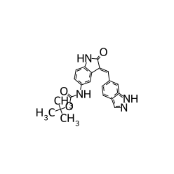 CC(C)(C)OC(=O)Nc1ccc2c(c1)/C(=C\c1ccc3cn[nH]c3c1)C(=O)N2